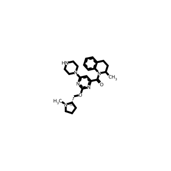 CC1CCc2ccccc2N1C(=O)c1cc(N2CCNCC2)nc(OC[C@@H]2CCCN2C)n1